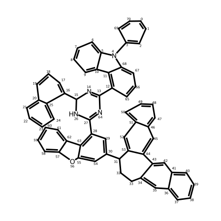 c1ccc(-n2c3ccccc3c3c(C4=NC(c5cccc6ccccc56)NC(c5cc(C6CCc7cc8ccccc8cc7-c7cc8ccccc8cc76)cc6oc7ccccc7c56)=N4)cccc32)cc1